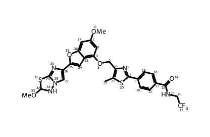 COc1cc(OCc2nc(-c3ccc(C(=O)NCC(F)(F)F)cc3)sc2C)c2cc(-c3cn4c(n3)SC(OC)N4)oc2c1